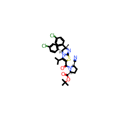 CC(C)C1=C(C(=O)N2[C@@H](C#N)CC[C@H]2C(=O)OC(C)(C)C)SC2=N[C@@](C)(c3ccc(Cl)cc3)[C@@H](c3ccc(Cl)cc3)N21